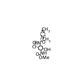 COC(=O)Nc1cc(Cl)c(NC(=O)C[N+]2(C)CCN(C)CC2)cc1O.[Cl-]